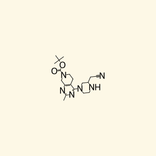 Cc1nc2c(c(N3CCNC(CC#N)C3)n1)CCN(C(=O)OC(C)(C)C)C2